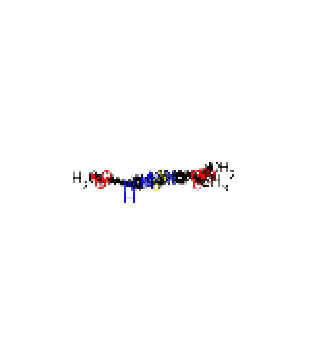 C=CC(=O)OCCCCCCNc1ccc(/N=N/c2nc3sc(/N=N/c4ccc(CCOC(=O)C(C)OC(=O)C=C)cc4)cc3s2)cc1